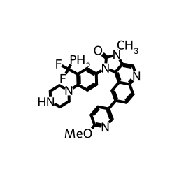 COc1ccc(-c2ccc3ncc4c(c3c2)n(-c2ccc(N3CCNCC3)c(C(F)(F)P)c2)c(=O)n4C)cn1